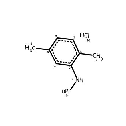 CCCNc1cc(C)ccc1C.Cl